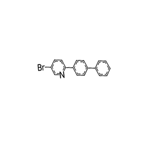 Brc1ccc(-c2ccc(-c3ccccc3)cc2)nc1